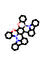 c1ccc2c(c1)Oc1c3c(c4c5c1oc1ccccc1n-5n1c5ccccc5c5cccc4c51)-c1cccc4c5ccccc5n(c14)B23